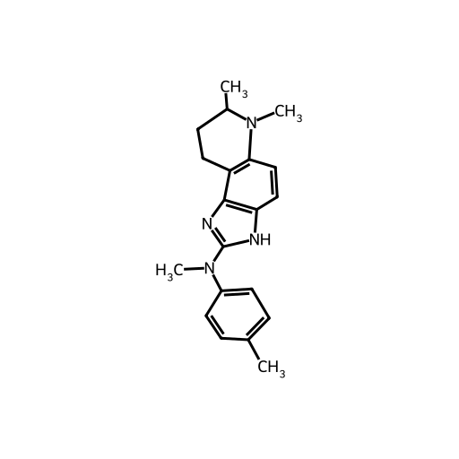 Cc1ccc(N(C)c2nc3c4c(ccc3[nH]2)N(C)C(C)CC4)cc1